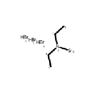 Br.Br.Br.CCN([S])CC